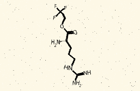 N=C(N)NCCC[C@H](N)C(=O)OCC(F)(F)F